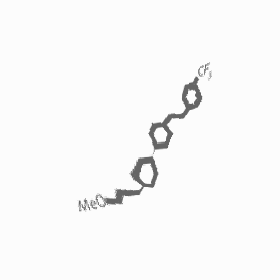 COC/C=C/[C@H]1CC[C@H](C2CCC(CCc3ccc(C(F)(F)F)cc3)CC2)CC1